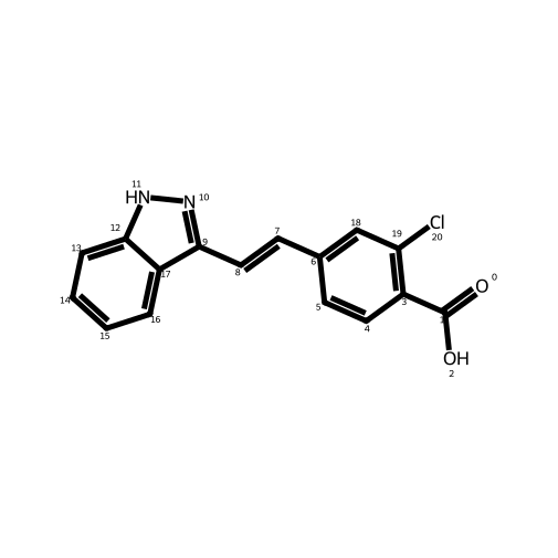 O=C(O)c1ccc(/C=C/c2n[nH]c3ccccc23)cc1Cl